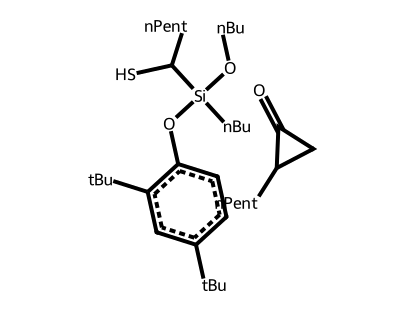 CCCCCC(S)[Si](CCCC)(OCCCC)Oc1ccc(C(C)(C)C)cc1C(C)(C)C.CCCCCC1CC1=O